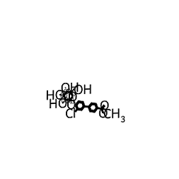 COC(=O)c1ccc(-c2ccc(O[C@H]3O[C@H](CO)[C@@H](O)[C@H](O)[C@@H]3O)c(Cl)c2)cc1